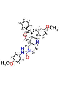 COc1ccc(NC(=O)N2CCc3nc(-c4ccc(OC)cc4C)c4c(c3C2)CO[C@@H](c2ccccc2)C4)cc1